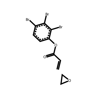 C1CO1.C=CC(=O)Oc1ccc(Br)c(Br)c1Br